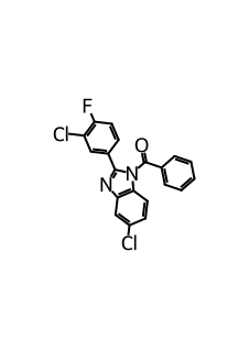 O=C(c1ccccc1)n1c(-c2ccc(F)c(Cl)c2)nc2cc(Cl)ccc21